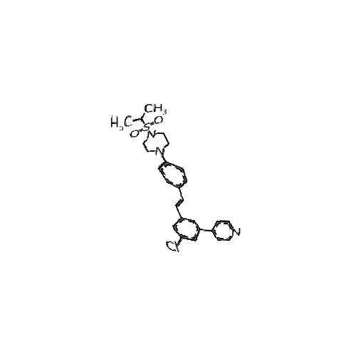 CC(C)S(=O)(=O)N1CCN(c2ccc(C=Cc3cc(Cl)cc(-c4ccncc4)c3)cc2)CC1